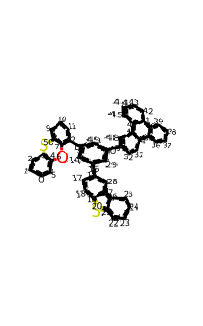 c1ccc2c(c1)Oc1c(cccc1-c1cc(-c3ccc4sc5ccccc5c4c3)cc(-c3ccc4c5ccccc5c5ccccc5c4c3)c1)S2